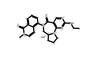 CCNc1ncc2c(n1)N1CCC[C@H]1CN(c1cccc3c(=O)n(C)ccc13)C2=O